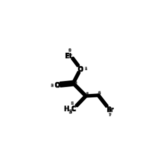 CCOC(=O)C(C)CBr